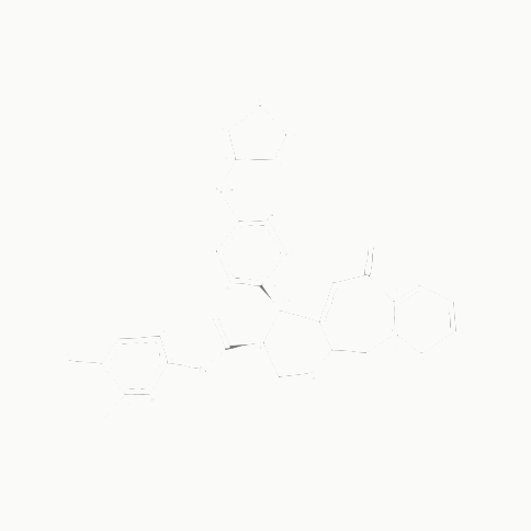 Cc1ccc(NC(=O)[C@@H]2CCC3CN4CC=CC=C4C(=O)C=C3[C@@H]2c2ccc(NC3CCCC3)cc2)cc1C(F)(F)F